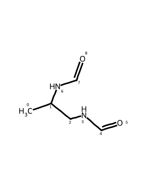 CC(CNC=O)NC=O